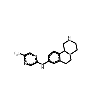 FC(F)(F)c1cnc(Nc2ccc3c(c2)CCN2CCNCC32)cn1